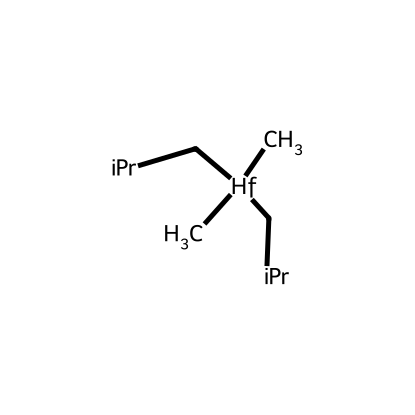 CC(C)[CH2][Hf]([CH3])([CH3])[CH2]C(C)C